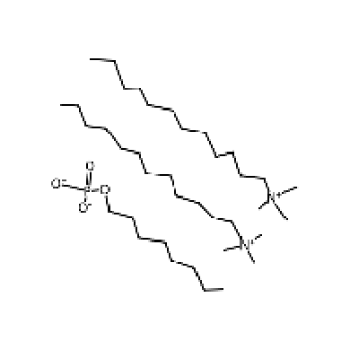 CCCCCCCCCCCC[N+](C)(C)C.CCCCCCCCCCCC[N+](C)(C)C.CCCCCCCCOP(=O)([O-])[O-]